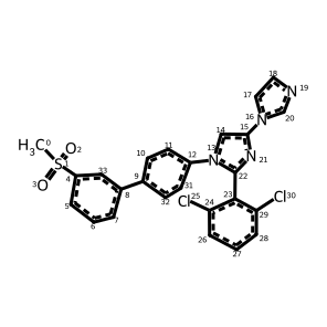 CS(=O)(=O)c1cccc(-c2ccc(-n3cc(-n4ccnc4)nc3-c3c(Cl)cccc3Cl)cc2)c1